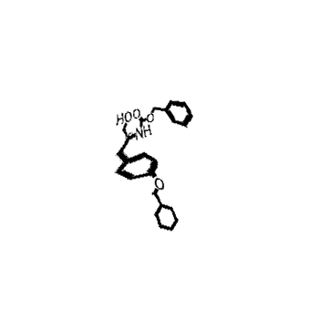 O=C(N[C@H](CO)Cc1ccc(OCC2CCCCC2)cc1)OCc1ccccc1